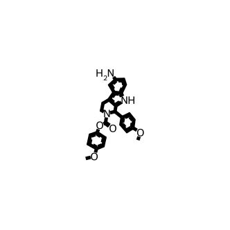 COc1ccc(OC(=O)N2CCc3c([nH]c4ccc(N)cc34)C2c2ccc(OC)cc2)cc1